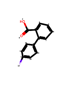 O=C(O)c1ccccc1-c1ccc(I)cc1